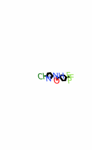 O=C(Nc1ccc(Cl)nc1)C1=CC=C(C(F)(F)F)CC1